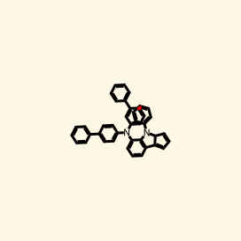 C1=CC2C(=C1)c1cccc(N(c3ccc(-c4ccccc4)cc3)c3cccc(-c4ccccc4)c3)c1N2c1ccccc1